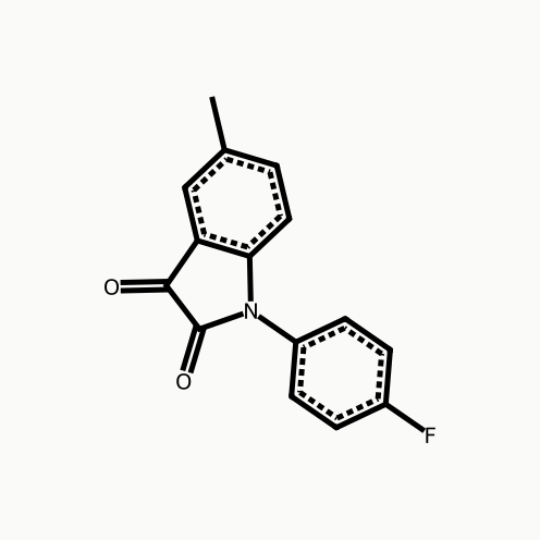 Cc1ccc2c(c1)C(=O)C(=O)N2c1ccc(F)cc1